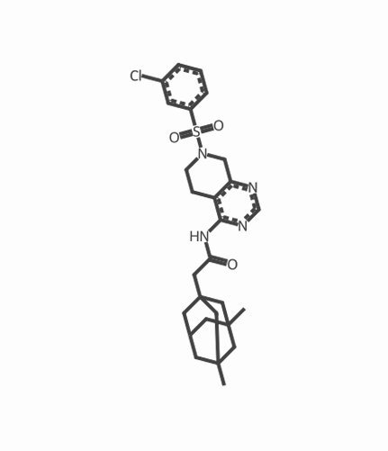 CC12CC3CC(C)(C1)CC(CC(=O)Nc1ncnc4c1CCN(S(=O)(=O)c1cccc(Cl)c1)C4)(C3)C2